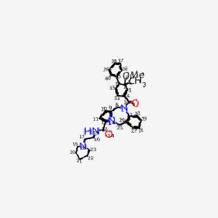 COC1(C)C=C(C(=O)N2Cc3ccc(C(=O)NCCN4CCCCC4)n3Cc3ccccc32)C=CC1c1ccccc1